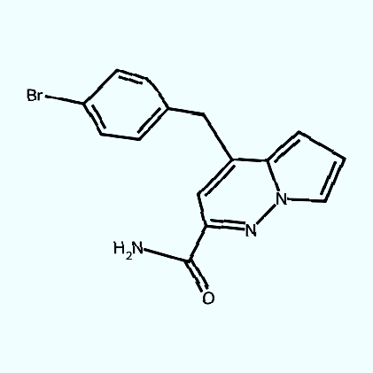 NC(=O)c1cc(Cc2ccc(Br)cc2)c2cccn2n1